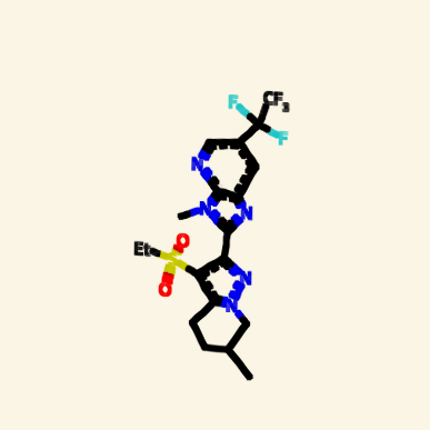 CCS(=O)(=O)c1c(-c2nc3cc(C(F)(F)C(F)(F)F)cnc3n2C)nn2c1CCC(C)C2